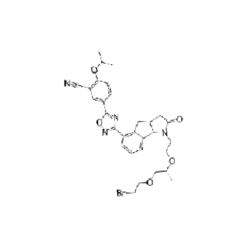 CC(C)Oc1ccc(-c2nc(-c3cccc4c3CC3CC(=O)N(CCO[C@H](C)COCCBr)C43)no2)cc1C#N